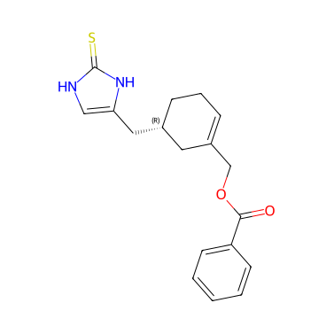 O=C(OCC1=CCC[C@@H](Cc2c[nH]c(=S)[nH]2)C1)c1ccccc1